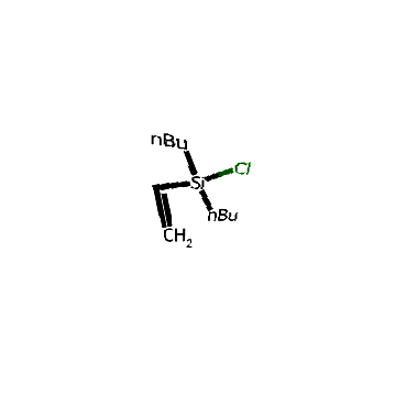 C=C[Si](Cl)(CCCC)CCCC